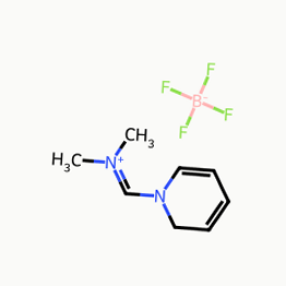 C[N+](C)=CN1C=CC=CC1.F[B-](F)(F)F